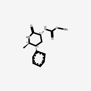 C[C@H]1NC(=O)[C@H](NC(=O)OC(C)(C)C)C[C@@H]1c1ccccc1